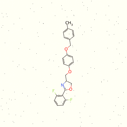 Cc1ccc(COc2ccc(OCC3COC(c4c(F)cccc4F)=N3)cc2)cc1